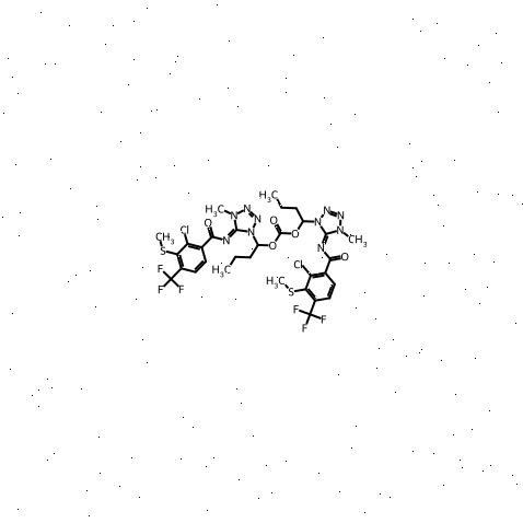 CCCC(OC(=O)OC(CCC)n1nnn(C)c1=NC(=O)c1ccc(C(F)(F)F)c(SC)c1Cl)n1nnn(C)c1=NC(=O)c1ccc(C(F)(F)F)c(SC)c1Cl